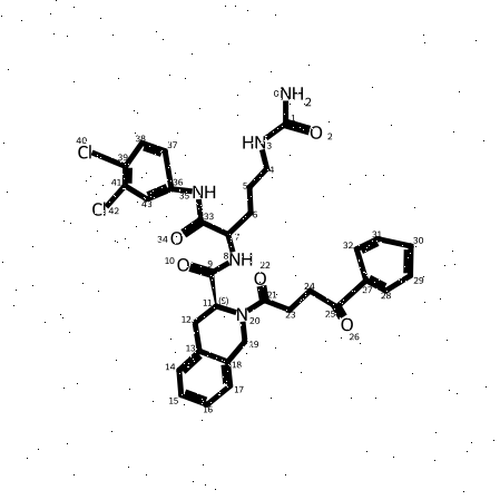 NC(=O)NCCCC(NC(=O)[C@@H]1Cc2ccccc2CN1C(=O)CCC(=O)c1ccccc1)C(=O)Nc1ccc(Cl)c(Cl)c1